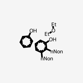 CCCCCCCCCc1cccc(O)c1CCCCCCCCC.CCOCC.Oc1ccccc1